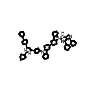 C1=NN(c2ccccc2)C2=C(c3ccccc3)N=C(n3c4ccccc4c4cc(-c5ccc6c(c5)c5ccccc5n6-c5ccc(-c6cc(-c7ccc(-c8ccccc8)cc7)nc(-c7ccccc7)n6)cc5)ccc43)NC12